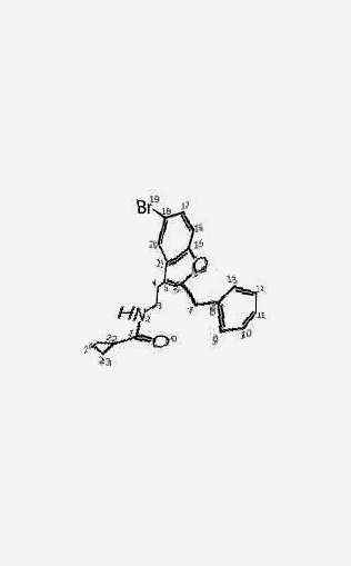 O=C(NCCc1c(Cc2ccccc2)oc2ccc(Br)cc12)C1CC1